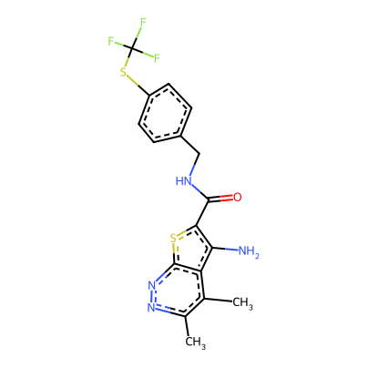 Cc1nnc2sc(C(=O)NCc3ccc(SC(F)(F)F)cc3)c(N)c2c1C